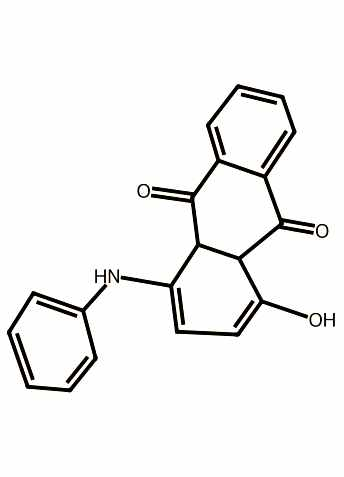 O=C1c2ccccc2C(=O)C2C(Nc3ccccc3)=CC=C(O)C12